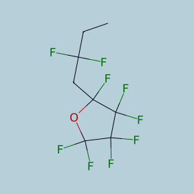 CCC(F)(F)CC1(F)OC(F)(F)C(F)(F)C1(F)F